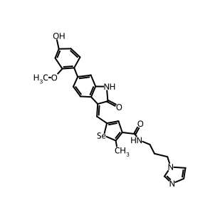 COc1cc(O)ccc1-c1ccc2c(c1)NC(=O)C2=Cc1cc(C(=O)NCCCn2ccnc2)c(C)[se]1